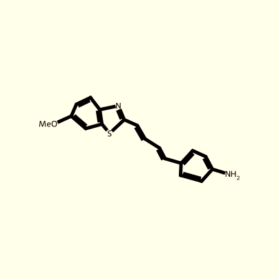 COc1ccc2nc(C=CC=Cc3ccc(N)cc3)sc2c1